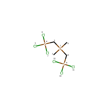 CS(C)(CS(Cl)(Cl)Cl)CS(Cl)(Cl)Cl